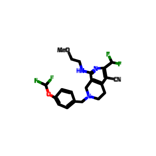 COCCNc1nc(C(F)F)c(C#N)c2c1CN(Cc1ccc(OC(F)F)cc1)CC2